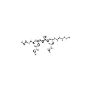 CCCCCCCC(COC(=O)OCC(CCCCCCC)OCCOC)OCCOC